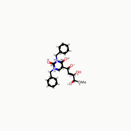 COC(=O)/C(O)=C/C(=O)c1cn(Cc2ccccc2)c(=O)n(Cc2ccccc2)c1=O